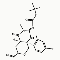 CN1C(=O)[C@@H]2C[C@H](C=O)OC[C@]2(c2ccc(F)cc2F)N/C1=N/C(=O)OC(C)(C)C